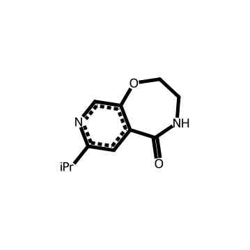 CC(C)c1cc2c(cn1)OCCNC2=O